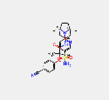 CC(C)(Oc1ccc(C#N)cc1)C(=O)N[C@H]1C[C@H]2CC[C@@H](C1)N2c1ccc(S(N)(=O)=O)cn1